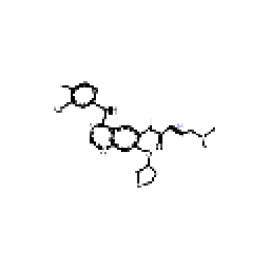 Cc1ccc(Nc2ncnc3cc(OC4CCOC4)c(NC(=O)/C=C/CN(C)C)cc23)cc1Cl